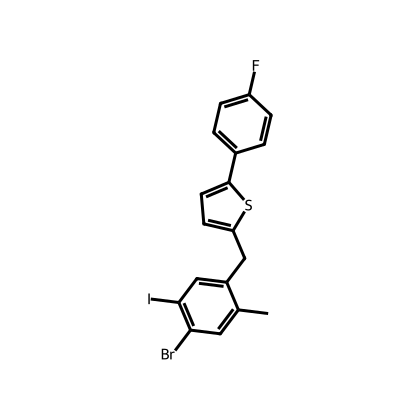 Cc1cc(Br)c(I)cc1Cc1ccc(-c2ccc(F)cc2)s1